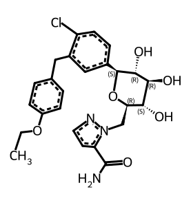 CCOc1ccc(Cc2cc([C@@H]3O[C@H](Cn4nccc4C(N)=O)[C@@H](O)[C@H](O)[C@H]3O)ccc2Cl)cc1